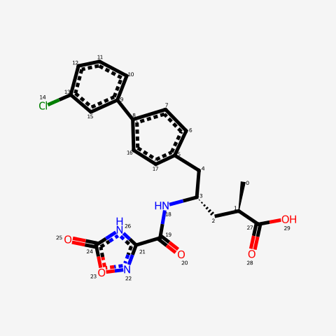 C[C@H](C[C@@H](Cc1ccc(-c2cccc(Cl)c2)cc1)NC(=O)c1noc(=O)[nH]1)C(=O)O